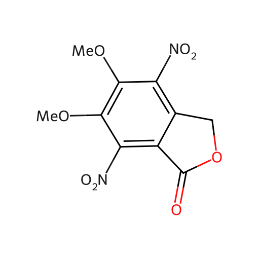 COc1c(OC)c([N+](=O)[O-])c2c(c1[N+](=O)[O-])COC2=O